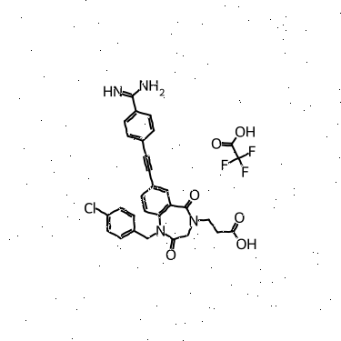 N=C(N)c1ccc(C#Cc2ccc3c(c2)C(=O)N(CCC(=O)O)CC(=O)N3Cc2ccc(Cl)cc2)cc1.O=C(O)C(F)(F)F